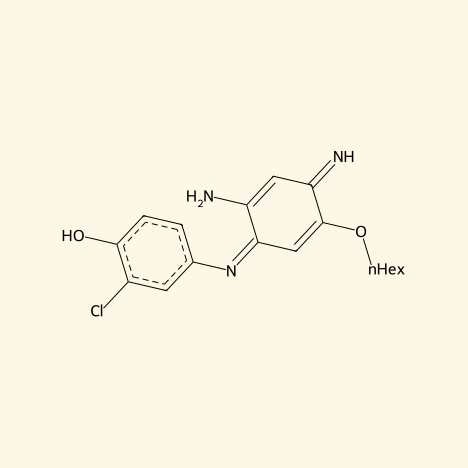 CCCCCCOC1=CC(=Nc2ccc(O)c(Cl)c2)C(N)=CC1=N